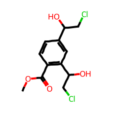 COC(=O)c1ccc(C(O)CCl)cc1C(O)CCl